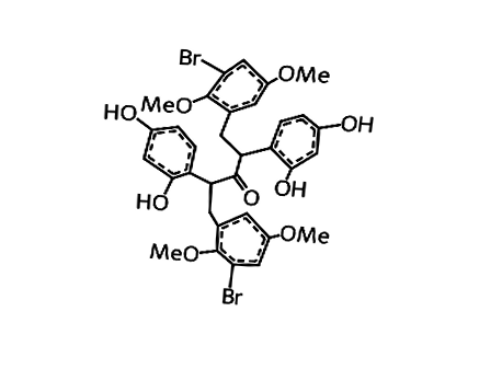 COc1cc(Br)c(OC)c(CC(C(=O)C(Cc2cc(OC)cc(Br)c2OC)c2ccc(O)cc2O)c2ccc(O)cc2O)c1